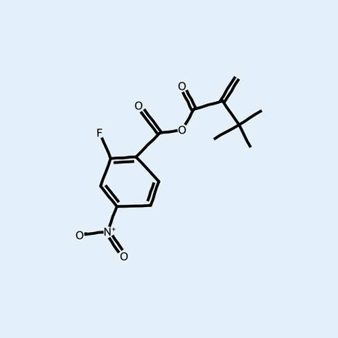 C=C(C(=O)OC(=O)c1ccc([N+](=O)[O-])cc1F)C(C)(C)C